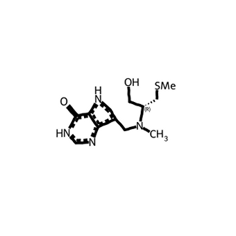 CSC[C@@H](CO)N(C)Cc1c[nH]c2c(=O)[nH]cnc12